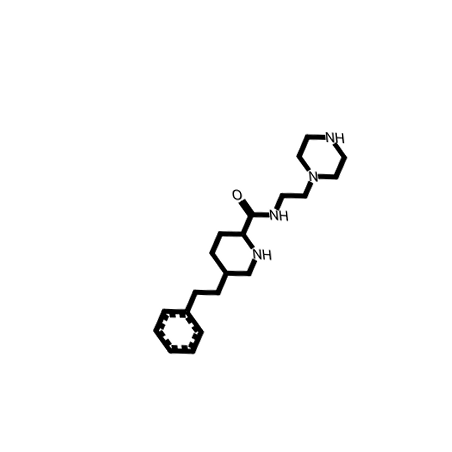 O=C(NCCN1CCNCC1)C1CCC(CCc2ccccc2)CN1